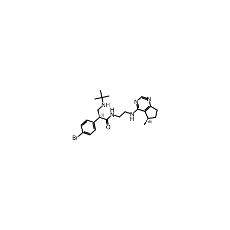 C[C@@H]1CCc2ncnc(NCCNC(=O)[C@H](CNC(C)(C)C)c3ccc(Br)cc3)c21